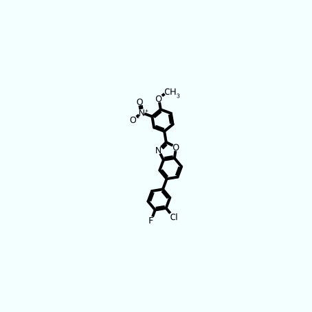 COc1ccc(-c2nc3cc(-c4ccc(F)c(Cl)c4)ccc3o2)cc1[N+](=O)[O-]